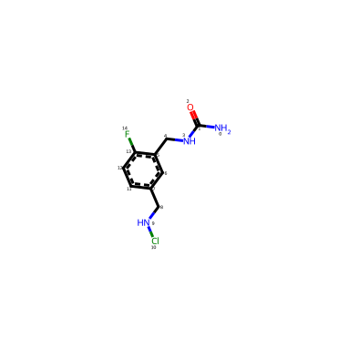 NC(=O)NCc1cc(CNCl)ccc1F